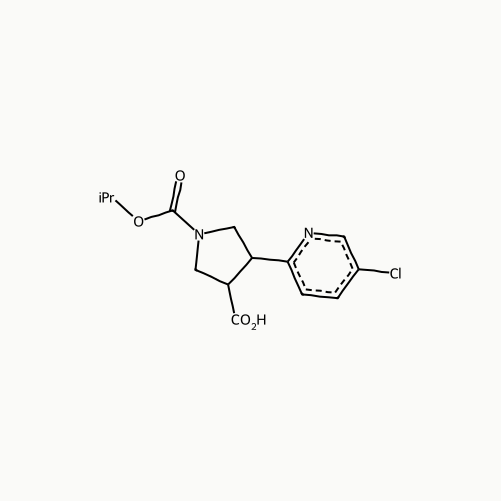 CC(C)OC(=O)N1CC(C(=O)O)C(c2ccc(Cl)cn2)C1